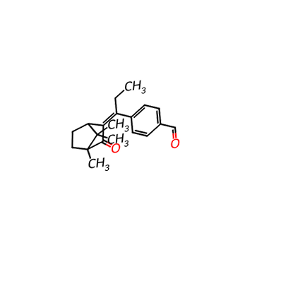 CCC(=C1C(=O)C2(C)CCC1C2(C)C)c1ccc(C=O)cc1